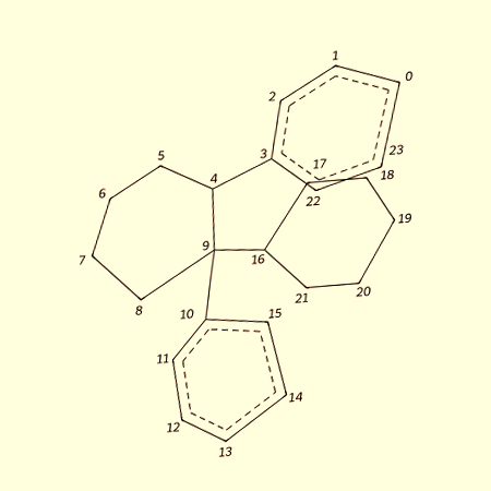 c1ccc(C2CCCCC2(c2ccccc2)C2CCCCC2)cc1